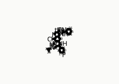 CC(C)(C)C(Nc1c(C#N)cnc2c(Cl)cc(NC(c3ccc(F)cc3)c3cn(C4CC4)nn3)cc12)c1ccccc1